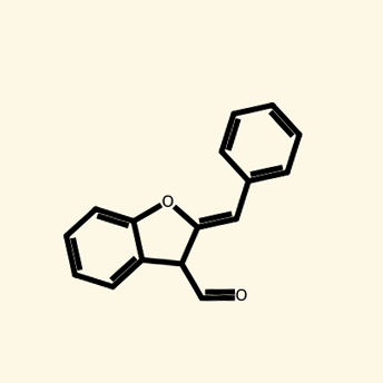 O=CC1C(=Cc2ccccc2)Oc2ccccc21